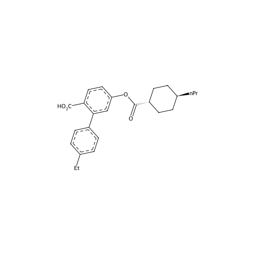 CCC[C@H]1CC[C@H](C(=O)Oc2ccc(C(=O)O)c(-c3ccc(CC)cc3)c2)CC1